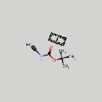 C#CNC(=O)OC(C)(C)C.c1cc2ccc1-2